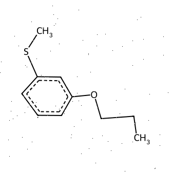 CCCOc1c[c]cc(SC)c1